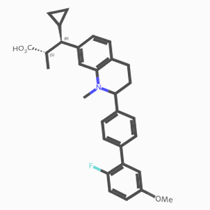 COc1ccc(F)c(-c2ccc(C3CCc4ccc([C@H](C5CC5)[C@H](C)C(=O)O)cc4N3C)cc2)c1